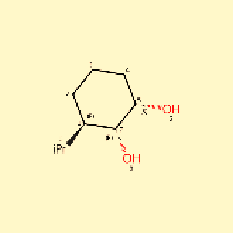 CC(C)[C@H]1CCC[C@H](O)[C@@H]1O